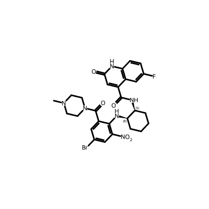 CN1CCN(C(=O)c2cc(Br)cc([N+](=O)[O-])c2N[C@@H]2CCCC[C@@H]2NC(=O)c2cc(=O)[nH]c3ccc(F)cc23)CC1